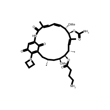 CO[C@H]1/C=C\C=C(/C)C(=O)NC2=CC(=O)C(N3CCC3)=C(C[C@@H](C)C[C@H](OC)[C@H](OC(=O)CCCN)[C@@H](C)/C=C(\C)[C@@H]1OC(N)=O)C2=O